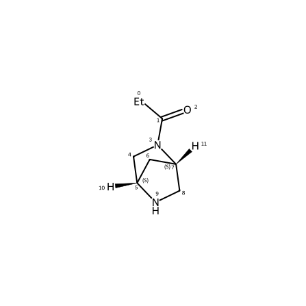 CCC(=O)N1C[C@@H]2C[C@H]1CN2